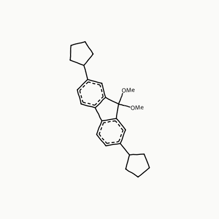 COC1(OC)c2cc(C3CCCC3)ccc2-c2ccc(C3CCCC3)cc21